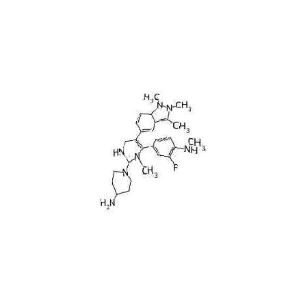 CNc1ccc(C2=C(C3=CC4=C(C)N(C)N(C)C4C=C3)CNC(N3CCC(N)CC3)N2C)cc1F